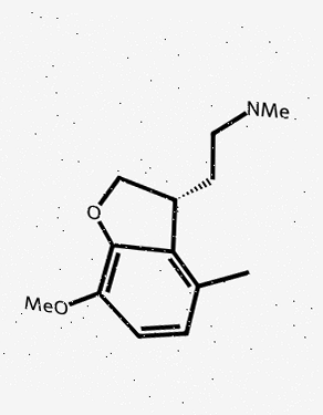 CNCC[C@H]1COc2c(OC)ccc(C)c21